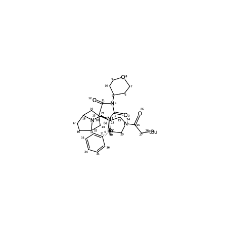 CC(C)N1C(=O)N(C2CCOCC2)C(=O)C12CC1CCC(C2)N1C[C@H]1CN(C(=O)CC(C)(C)C)C[C@@H]1c1ccccc1